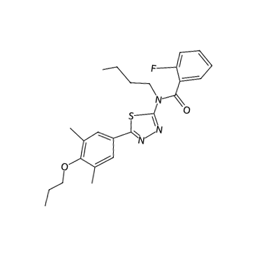 CCCCN(C(=O)c1ccccc1F)c1nnc(-c2cc(C)c(OCCC)c(C)c2)s1